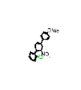 COc1ccc(C2=CCC(c3ccccc3Cl)C([N+](=O)[O-])C2)cc1